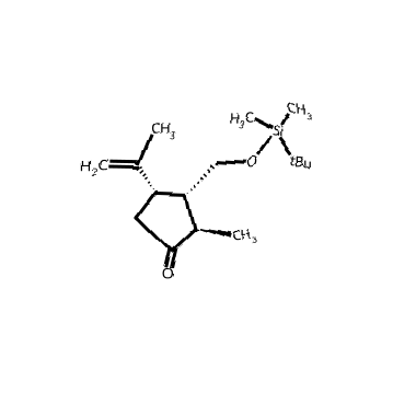 C=C(C)[C@H]1CC(=O)[C@H](C)[C@H]1CO[Si](C)(C)C(C)(C)C